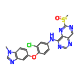 Cn1cnc2cc(Oc3ccc(Nc4ncnc5cnc([S+](C)[O-])nc45)cc3Cl)ccc21